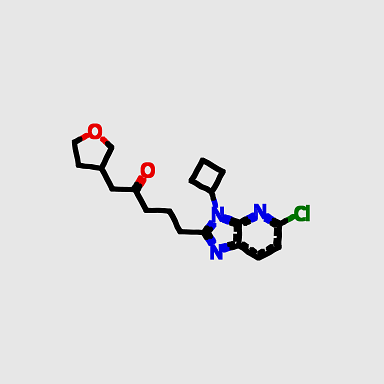 O=C(CCCc1nc2ccc(Cl)nc2n1C1CCC1)CC1CCOC1